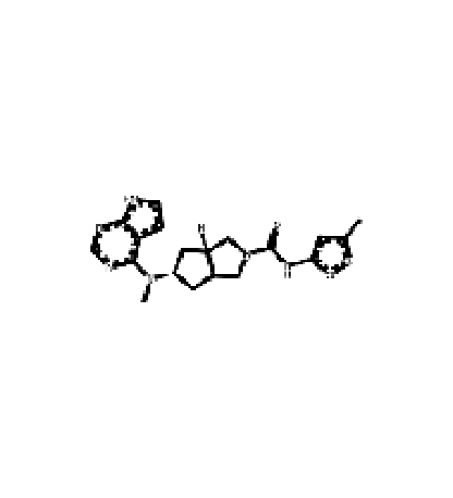 Cc1cc(NC(=O)N2CC3C[C@@H](N(C)c4ncnc5[nH]ccc45)C[C@@H]3C2)on1